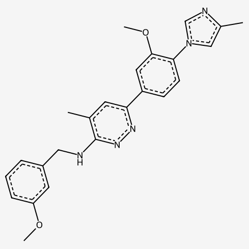 COc1cccc(CNc2nnc(-c3ccc(-n4cnc(C)c4)c(OC)c3)cc2C)c1